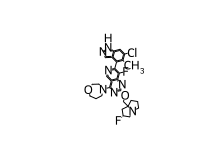 Cc1c(Cl)cc2[nH]ncc2c1-c1ncc2c(N3CCCOCC3)nc(OCC34CCCN3C[C@H](F)C4)nc2c1F